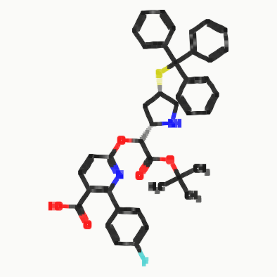 CC(C)(C)OC(=O)C(Oc1ccc(C(=O)O)c(-c2ccc(F)cc2)n1)[C@@H]1C[C@H](SC(c2ccccc2)(c2ccccc2)c2ccccc2)CN1